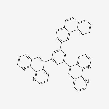 c1ccc2c(c1)ccc1ccc(-c3cc(-c4cc5cccnc5c5ncccc45)cc(-c4cc5cccnc5c5ncccc45)c3)cc12